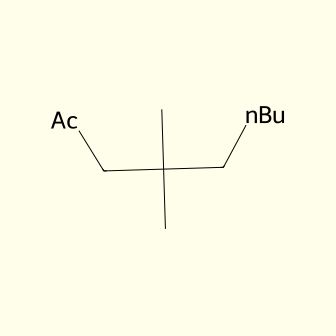 CCCCCC(C)(C)CC(C)=O